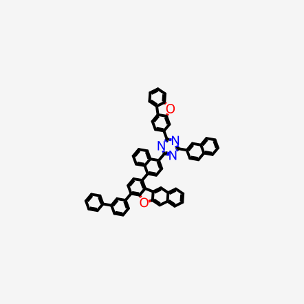 c1ccc(-c2cccc(-c3ccc(-c4ccc(-c5nc(-c6ccc7ccccc7c6)nc(-c6ccc7c(c6)oc6ccccc67)n5)c5ccccc45)c4c3oc3cc5ccccc5cc34)c2)cc1